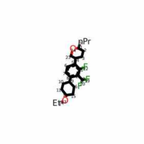 CCCC1CCC(c2ccc(C3CCC(OCC)CC3)c(C(F)F)c2F)CO1